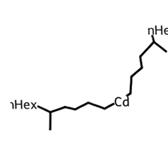 CCCCCCC(C)CCC[CH2][Cd][CH2]CCCC(C)CCCCCC